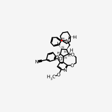 COc1cc2c3c(n1)OCCO[C@@H]1[C@H](CN4[C@@H]5CCC[C@H]4CC5)[C@@H](c4ccccc4)[C@](c4ccc(C#N)cc4)(O2)[C@]31O